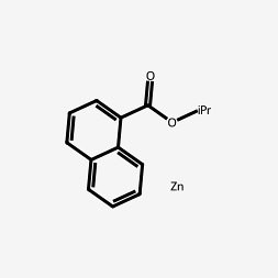 CC(C)OC(=O)c1cccc2ccccc12.[Zn]